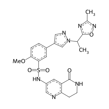 COc1ccc(-c2cnn(C(C)c3nc(C)no3)c2)cc1S(=O)(=O)Nc1cnc2c(c1)C(=O)NCC2